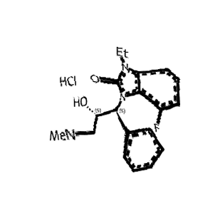 CCn1c(=O)n([C@@H](c2ccccc2)[C@@H](O)CNC)c2c(F)cccc21.Cl